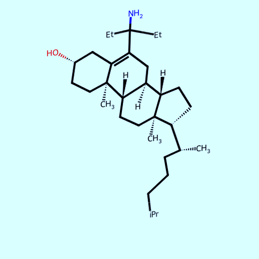 CCC(N)(CC)C1=C2C[C@@H](O)CC[C@]2(C)[C@H]2CC[C@]3(C)[C@@H]([C@H](C)CCCC(C)C)CC[C@H]3[C@@H]2C1